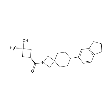 C[C@]1(O)C[C@@H](C(=O)N2CC3(CCC(c4ccc5c(c4)CCC5)CC3)C2)C1